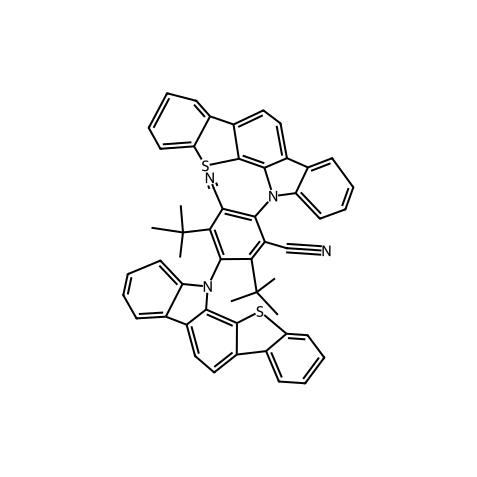 CC(C)(C)c1c(C#N)c(-n2c3ccccc3c3ccc4c5ccccc5sc4c32)c(C#N)c(C(C)(C)C)c1-n1c2ccccc2c2ccc3c4ccccc4sc3c21